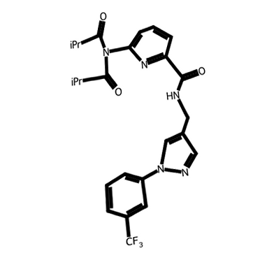 CC(C)C(=O)N(C(=O)C(C)C)c1cccc(C(=O)NCc2cnn(-c3cccc(C(F)(F)F)c3)c2)n1